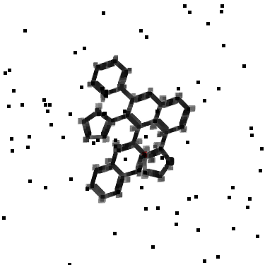 [c]1c(-c2ccccn2)c(-c2cccs2)c(-c2ccc3ccccc3n2)c2c(-c3ccco3)cccc12